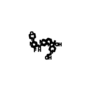 CC(O)(c1ccc2cnc(Nc3cc(N4CCOCC4)ncc3F)cc2n1)C1CCN(CCO)CC1